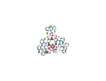 CC(C)(C)c1ccc2sc3c(c2c1)Oc1cc(N(c2c(F)cccc2F)c2c(F)cccc2F)cc2c1B3c1cc3c(cc1N2c1c(F)cccc1F)Oc1cc(N(c2c(F)cccc2F)c2c(F)cccc2F)cc2c1B3c1cc3c(cc1O2)N(c1c(F)cccc1F)c1cc(N(c2c(F)cccc2F)c2c(F)cccc2F)cc2c1B3c1sc3ccc(C(C)(C)C)cc3c1O2